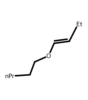 CCC=COCCCCC